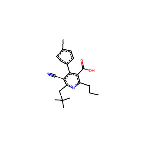 CCCc1nc(CC(C)(C)C)c(C#N)c(-c2ccc(C)cc2)c1C(=O)O